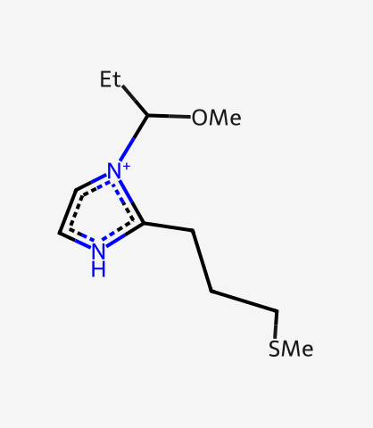 CCC(OC)[n+]1cc[nH]c1CCCSC